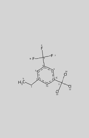 CCc1cc(C(F)(F)F)cc(C(Cl)(Cl)Cl)c1